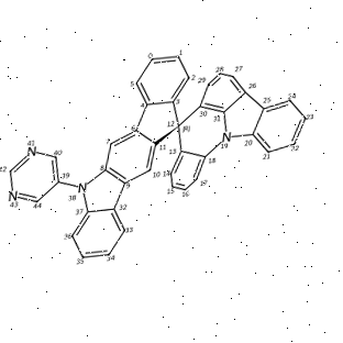 c1ccc2c(c1)-c1cc3c(cc1[C@@]21c2ccccc2-n2c4ccccc4c4cccc1c42)c1ccccc1n3-c1cncnc1